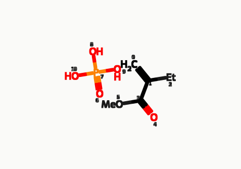 C=C(CC)C(=O)OC.O=P(O)(O)O